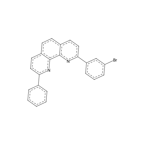 Brc1cccc(-c2ccc3ccc4ccc(-c5ccccc5)nc4c3n2)c1